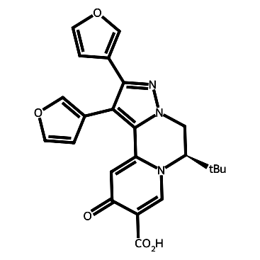 CC(C)(C)[C@@H]1Cn2nc(-c3ccoc3)c(-c3ccoc3)c2-c2cc(=O)c(C(=O)O)cn21